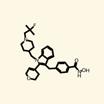 CC(C)(F)CN1CCC(Cn2c(C3=CCOCC3)c(Cc3ccc(C(=O)NO)cc3)c3ccccc32)CC1